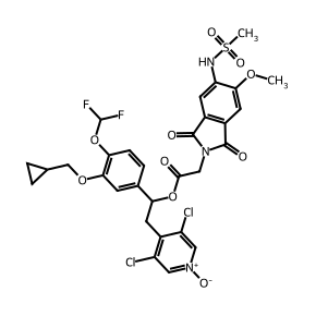 COc1cc2c(cc1NS(C)(=O)=O)C(=O)N(CC(=O)OC(Cc1c(Cl)c[n+]([O-])cc1Cl)c1ccc(OC(F)F)c(OCC3CC3)c1)C2=O